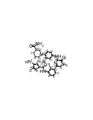 CCCc1cc(C(=O)Nc2cccc(-c3cn(C)c(=O)c(Nc4ccc(N5CCCC(C(N)=O)C5)c(N)c4)n3)c2C)sc1C